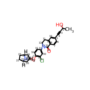 CC(O)C#Cc1ccc2c(c1)CCN(c1ccc(O[C@H]3C[C@H]4CC[C@@H](C3)N4C)c(Cl)c1)C2=O